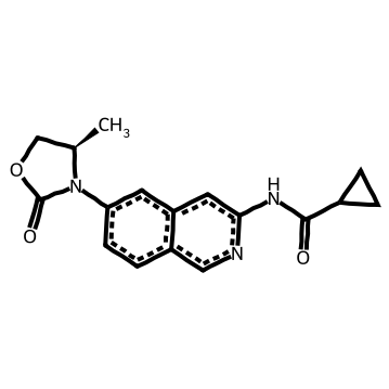 C[C@@H]1COC(=O)N1c1ccc2cnc(NC(=O)C3CC3)cc2c1